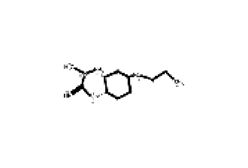 CCCN[C@H]1CC[C@H](NC(=N)N(C)N)CC1